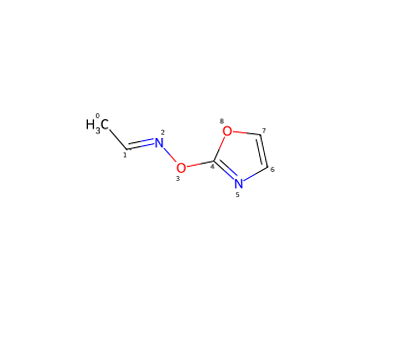 C[C]=NOc1ncco1